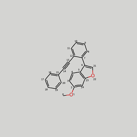 COc1ccc2c(-c3ccccc3C#Cc3ccccc3)coc2c1